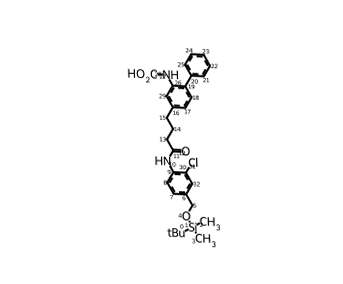 CC(C)(C)[Si](C)(C)OCc1ccc(NC(=O)CCCc2ccc(-c3ccccc3)c(NC(=O)O)c2)c(Cl)c1